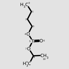 CCCC[O][Ti](=[O])[O]C(C)C